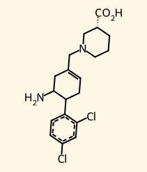 NC1CC(CN2CCC[C@@H](C(=O)O)C2)=CCC1c1ccc(Cl)cc1Cl